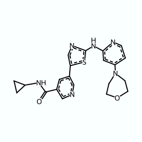 O=C(NC1CC1)c1cncc(-c2cnc(Nc3cc(N4CCOCC4)ccn3)s2)c1